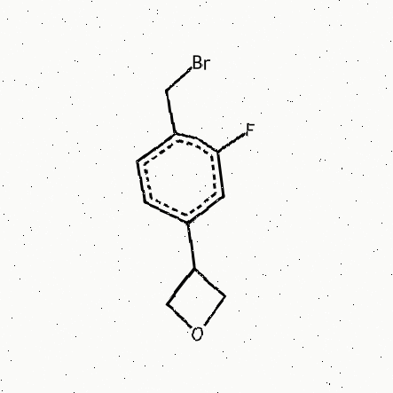 Fc1cc(C2COC2)ccc1CBr